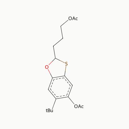 CC(=O)OCCCC1Oc2cc(C(C)(C)C)c(OC(C)=O)cc2S1